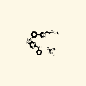 COCCn1cc(-c2cccc(-n3nnc4cnc(NC5CCCC5)nc43)c2)cn1.NC(=O)O